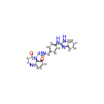 O=C(CN1C(=O)CC[N]c2ccccc21)NCc1ccc(Nc2nc3ccccc3[nH]2)cc1